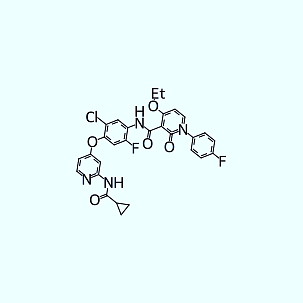 CCOc1ccn(-c2ccc(F)cc2)c(=O)c1C(=O)Nc1cc(Cl)c(Oc2ccnc(NC(=O)C3CC3)c2)cc1F